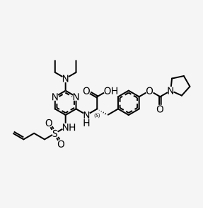 C=CCCS(=O)(=O)Nc1cnc(N(CC)CC)nc1N[C@@H](Cc1ccc(OC(=O)N2CCCC2)cc1)C(=O)O